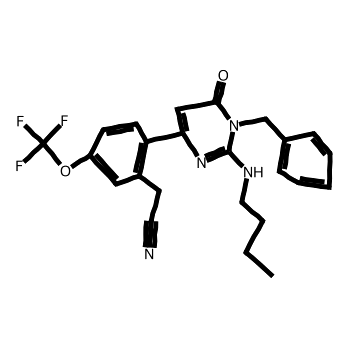 CCCCNc1nc(-c2ccc(OC(F)(F)F)cc2CC#N)cc(=O)n1Cc1ccccc1